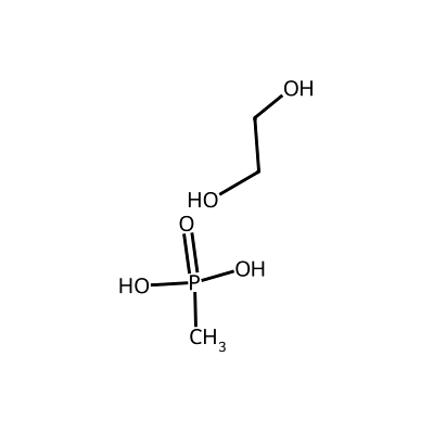 CP(=O)(O)O.OCCO